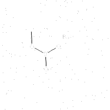 COB([O-])[O-].[Ba+2]